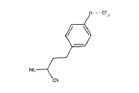 N#CC(C#N)CCc1ccc(OC(F)(F)F)cc1